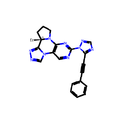 CC[C@@]12CCCN1c1nc(-n3ncnc3C#Cc3ccccc3)ncc1-n1cnnc12